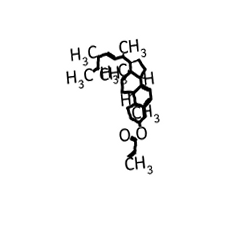 C/C=C/C(=O)OC1CC[C@@]2(C)C(=CC=C3[C@@H]4CC[C@H]([C@H](C)C=C[C@H](C)C(C)C)[C@@]4(C)CC[C@@H]32)C1